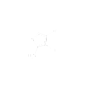 Cn1c(C(C)(C)C)cnc1N